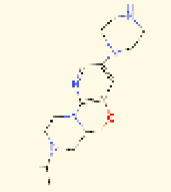 CC(C)N1CCN2c3ncc(N4CCNCC4)cc3OCC2C1